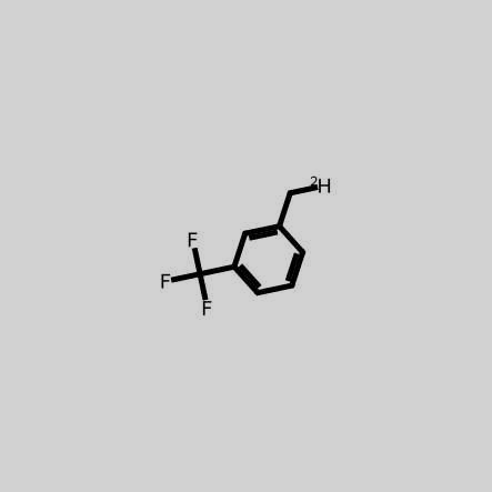 [2H]Cc1cccc(C(F)(F)F)c1